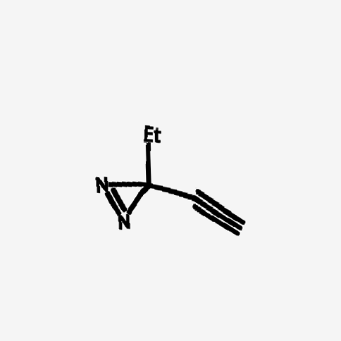 C#CC1(CC)N=N1